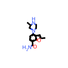 Cc1cc2c(N3CCNC(C)C3)ccc(C(N)=O)c2o1